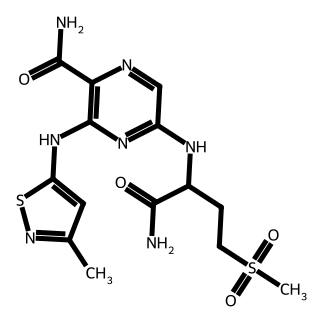 Cc1cc(Nc2nc(NC(CCS(C)(=O)=O)C(N)=O)cnc2C(N)=O)sn1